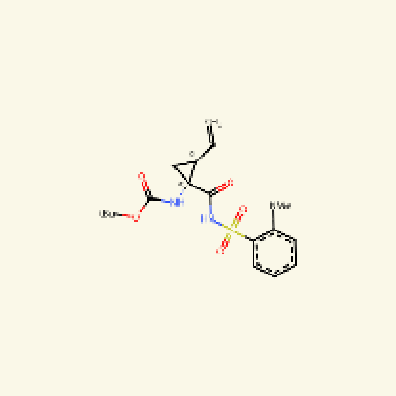 C=C[C@@H]1C[C@]1(NC(=O)OC(C)(C)C)C(=O)NS(=O)(=O)c1ccccc1NC